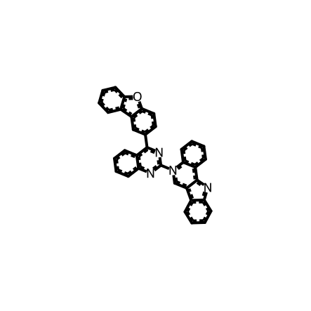 c1ccc2c3cn(-c4nc(-c5ccc6oc7ccccc7c6c5)c5ccccc5n4)c4ccccc4c-3nc2c1